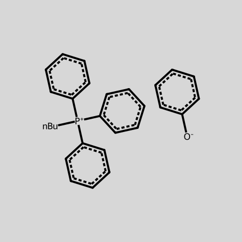 CCCC[P+](c1ccccc1)(c1ccccc1)c1ccccc1.[O-]c1ccccc1